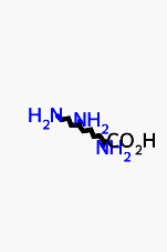 NCCCC(N)CCCCC(N)C(=O)O